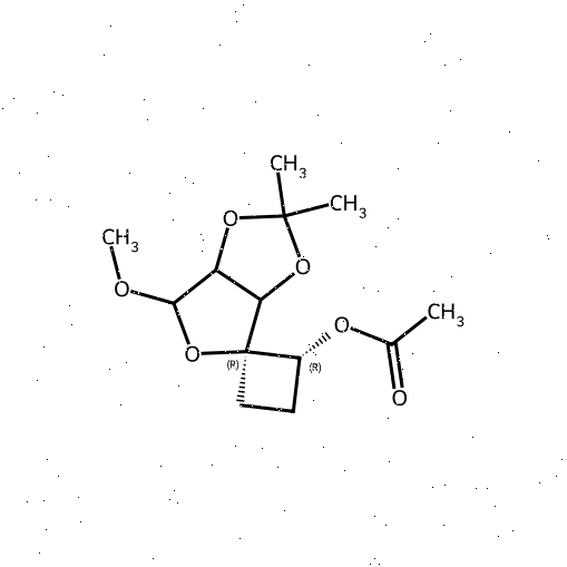 COC1O[C@@]2(CC[C@H]2OC(C)=O)C2OC(C)(C)OC12